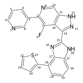 Fc1c(-c2cccnc2)ncc2[nH]nc(-c3nc4c(-c5cccs5)cccc4[nH]3)c12